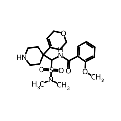 COc1ccccc1C(=O)NC(C1(C2=CCOCC2)CCNCC1)S(=O)(=O)N(C)C